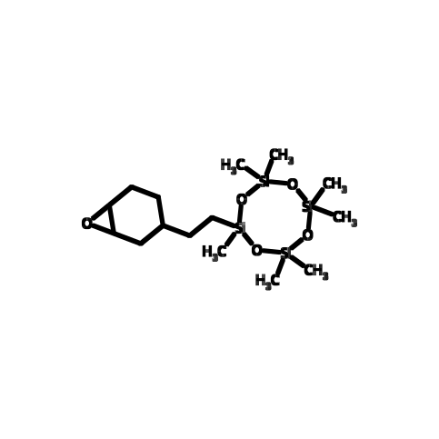 C[Si]1(C)O[Si](C)(C)O[Si](C)(CCC2CCC3OC3C2)O[Si](C)(C)O1